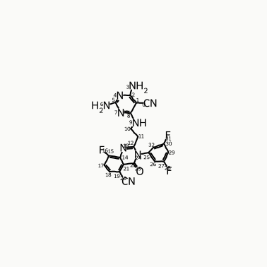 N#Cc1c(N)nc(N)nc1NCCc1nc2c(F)ccc(C#N)c2c(=O)n1-c1cc(F)cc(F)c1